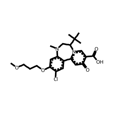 COCCCOc1cc2c(cc1Cl)-c1cc(=O)c(C(=O)O)cn1C(C(C)(C)C)CN2C